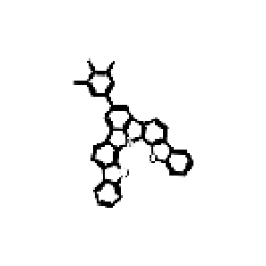 Cc1cc(-c2cc3c4ccc5c6ccccc6oc5c4n4c3c(c2)c2ccc3c5ccccc5oc3c24)cc(C)c1C